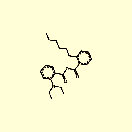 CCCCCCc1ccccc1C(=O)OC(=O)c1ccccc1N(CC)CC